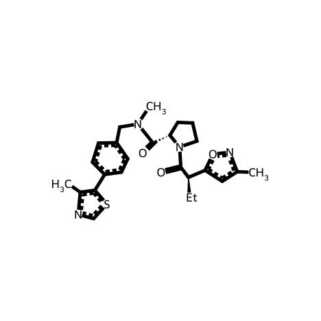 CC[C@@H](C(=O)N1CCC[C@H]1C(=O)N(C)Cc1ccc(-c2scnc2C)cc1)c1cc(C)no1